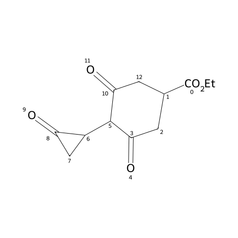 CCOC(=O)C1CC(=O)C(C2CC2=O)C(=O)C1